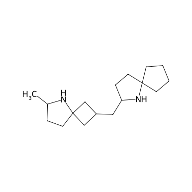 CC1CCC2(CC(CC3CCC4(CCCC4)N3)C2)N1